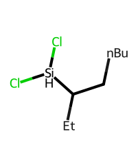 CCCCCC(CC)[SiH](Cl)Cl